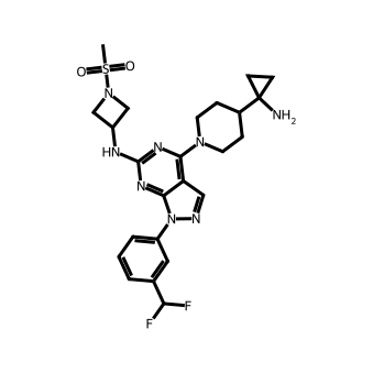 CS(=O)(=O)N1CC(Nc2nc(N3CCC(C4(N)CC4)CC3)c3cnn(-c4cccc(C(F)F)c4)c3n2)C1